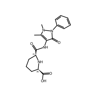 Cc1c(NC(=O)[C@@H]2CCC[C@H](C(=O)O)N2)c(=O)n(-c2ccccc2)n1C